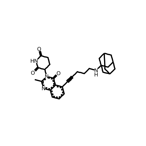 Cc1nc2cccc(C#CCCCNC34CC5CC(CC(C5)C3)C4)c2c(=O)n1C1CCC(=O)NC1=O